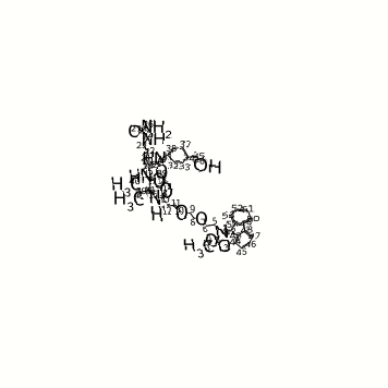 COC(=O)N(CCOCCOCCC(=O)N[C@H](C(=O)N[C@@H](CCCNC(N)=O)C(=O)Nc1ccc(CO)cc1)C(C)C)C1c2ccccc2-c2ccccc21